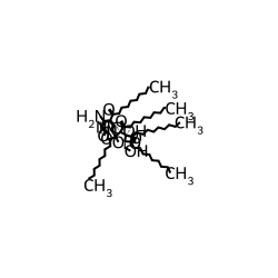 CCCCCCCCCC(=O)c1cn([C@]2(C(=O)CCCCCCCCC)O[C@@](CO)(C(=O)CCCCCCCCC)[C@](O)(C(=O)CCCCCCCCC)[C@]2(O)C(=O)CCCCCCCCC)c(=O)nc1N